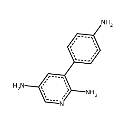 Nc1ccc(-c2cc(N)cnc2N)cc1